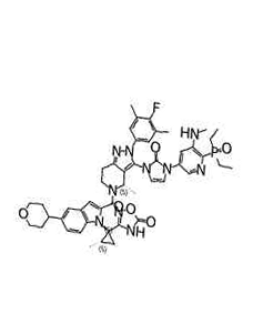 CCP(=O)(CC)c1ncc(-n2ccn(-c3c4c(nn3-c3cc(C)c(F)c(C)c3)CCN(C(=O)c3cc5cc(C6CCOCC6)ccc5n3[C@@]3(c5noc(=O)[nH]5)C[C@@H]3C)[C@H]4C)c2=O)cc1NC